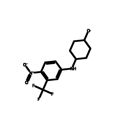 [O]C1CCC(Nc2ccc([N+](=O)[O-])c(C(F)(F)F)c2)CC1